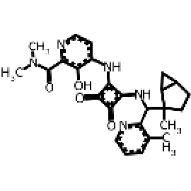 Cc1cccnc1C(Nc1c(Nc2ccnc(C(=O)N(C)C)c2O)c(=O)c1=O)C1(C)CCC2CC21